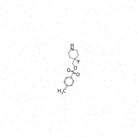 Cc1ccc(S(=O)(=O)OCC2(F)CCNCC2)cc1